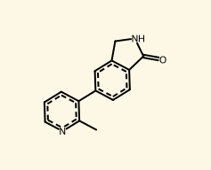 Cc1ncccc1-c1ccc2c(c1)CNC2=O